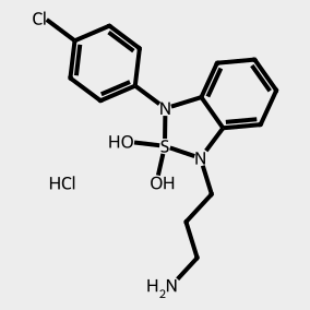 Cl.NCCCN1c2ccccc2N(c2ccc(Cl)cc2)S1(O)O